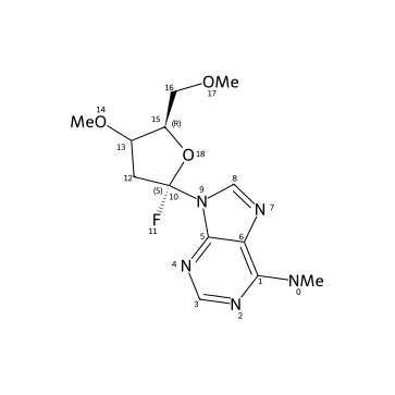 CNc1ncnc2c1ncn2[C@@]1(F)CC(OC)[C@@H](COC)O1